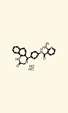 CC(C)Nc1ncccc1C(=O)Nc1ccc(C2=NCC(=O)Nc3c2ccc2ccccc32)cc1.Cl.Cl